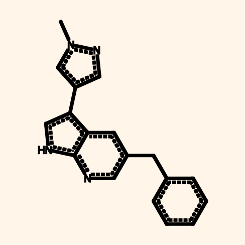 Cn1cc(-c2c[nH]c3ncc(Cc4ccccc4)cc23)cn1